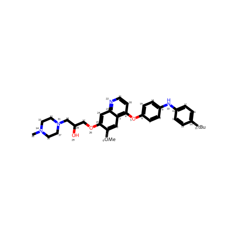 COc1cc2c(Oc3ccc(Nc4ccc(C(C)(C)C)cc4)cc3)ccnc2cc1OCC(O)CN1CCN(C)CC1